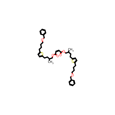 CC(CCc1ccc(CCCCOCc2ccccc2)s1)COC(=O)/C=C\C(=O)OCC(C)CCc1ccc(CCCCOCc2ccccc2)s1